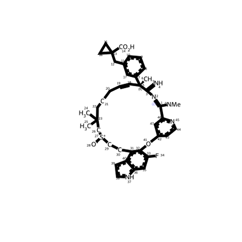 CN/C1=N\C(=N)[C@@](C)(c2cccc(CC3(C(=O)O)CC3)c2)C=CCCCC(C)(C)C[S+]([O-])CCc2c(c(F)cc3[nH]ccc23)Oc2ccnc1c2